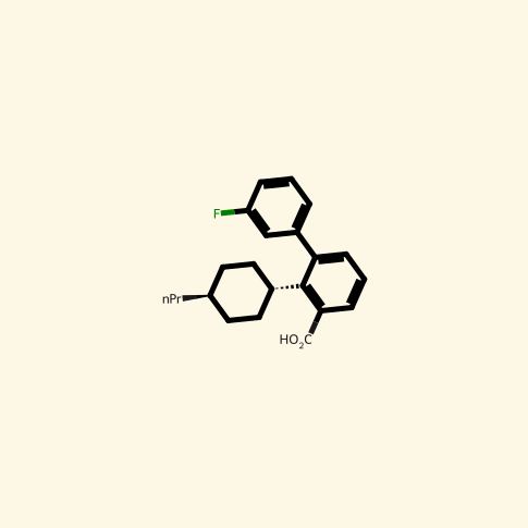 CCC[C@H]1CC[C@H](c2c(C(=O)O)cccc2-c2cccc(F)c2)CC1